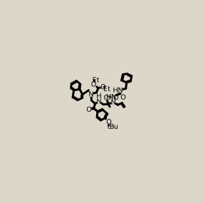 C=CCN(NC(=O)NCc1ccccc1)C(C)(C=O)CNC(CN(Cc1cccc2ccccc12)CC(OCC)OCC)C(=O)c1ccc(OC(C)(C)C)cc1